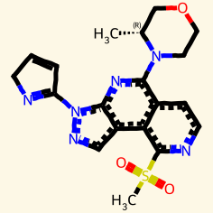 C[C@@H]1COCCN1c1nc2c(cnn2C2=NCC=C2)c2c(S(C)(=O)=O)nccc12